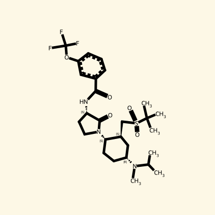 CC(C)N(C)[C@@H]1CC[C@H](N2CC[C@H](NC(=O)c3cccc(OC(F)(F)F)c3)C2=O)[C@@H](CS(=O)(=O)C(C)(C)C)C1